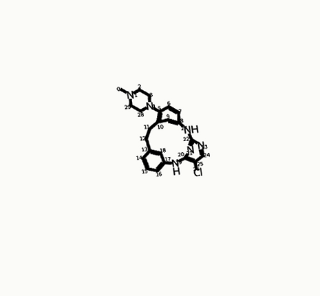 CN1CCN(c2ccc3cc2CCc2cccc(c2)Nc2nc(ncc2Cl)N3)CC1